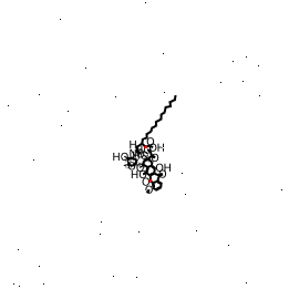 CCCCCCCCCCCCCCCC(CC(=O)O)CC(=O)N[C@H]1C[C@H](O[C@H]2C[C@](O)(C(=O)CO)Cc3c(O)c4c(c(O)c32)C(=O)c2c(OC)cccc2C4=O)O[C@@H](C)[C@H]1O